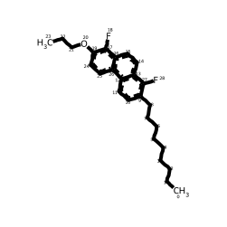 CCCCCCCCCc1ccc2c(ccc3c(F)c(OCCC)ccc32)c1F